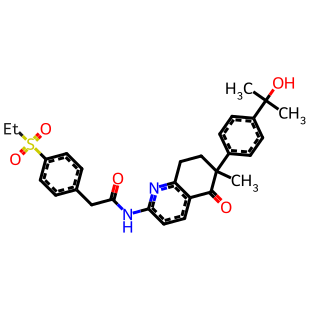 CCS(=O)(=O)c1ccc(CC(=O)Nc2ccc3c(n2)CCC(C)(c2ccc(C(C)(C)O)cc2)C3=O)cc1